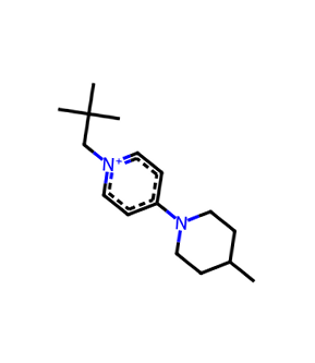 CC1CCN(c2cc[n+](CC(C)(C)C)cc2)CC1